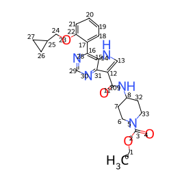 CCOC(=O)N1CCC(NC(=O)c2c[nH]c3c(-c4ccccc4OCC4CC4)ncnc23)CC1